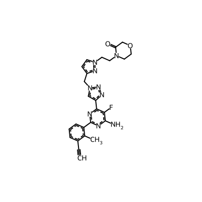 C#Cc1cccc(-c2nc(N)c(F)c(-c3cn(Cc4ccn(CCN5CCOCC5=O)n4)nn3)n2)c1C